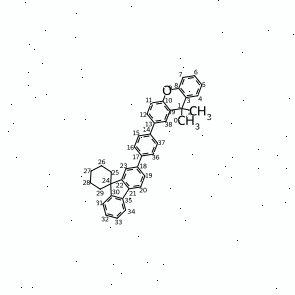 CC1(C)c2ccccc2Oc2ccc(-c3ccc(-c4ccc5c(c4)C4(CCCCC4)c4ccccc4-5)cc3)cc21